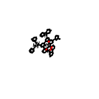 Cc1cccc(-c2ccc3c(c2)c2ccccc2n3-c2c(-c3cccc(-n4c5ccccc5c5ccccc54)c3)cc(-c3nc(-c4ccccc4)nc(-c4ccccc4)n3)cc2-c2cccc(-n3c4ccccc4c4ccccc43)c2)c1